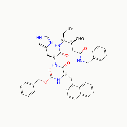 CC(C)C[C@H](NC(=O)[C@H](Cc1c[nH]cn1)NC(=O)[C@H](Cc1cccc2ccccc12)NC(=O)OCc1ccccc1)[C@@H](C=O)CC(=O)NCc1ccccc1